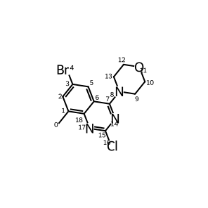 Cc1cc(Br)cc2c(N3CCOCC3)nc(Cl)nc12